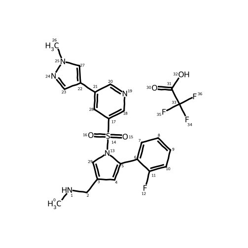 CNCc1cc(-c2ccccc2F)n(S(=O)(=O)c2cncc(-c3cnn(C)c3)c2)c1.O=C(O)C(F)(F)F